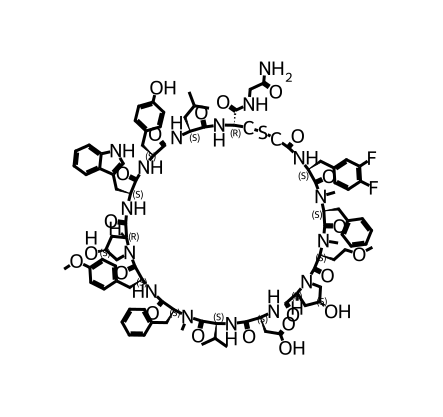 COCC[C@H]1C(=O)N2C[C@@H](O)C[C@@H]2C(=O)N[C@@H](CC(=O)O)C(=O)N[C@@H](C(C)C)C(=O)N(C)[C@@H](Cc2ccccc2)C(=O)N[C@@H](Cc2ccc(OC)cc2)C(=O)N2C[C@@H](O)C[C@@H]2C(=O)N[C@@H](Cc2c[nH]c3ccccc23)C(=O)N[C@@H](Cc2ccc(O)cc2)C(=O)N[C@@H](CC(C)C)C(=O)N[C@H](C(=O)NCC(N)=O)CSCC(=O)N[C@@H](Cc2ccc(F)c(F)c2)C(=O)N(C)[C@@H](Cc2ccccc2)C(=O)N1C